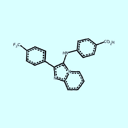 O=C(O)c1ccc(Nc2c(-c3ccc(C(F)(F)F)cc3)nc3ccccn23)cc1